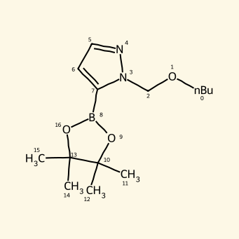 CCCCOCn1nccc1B1OC(C)(C)C(C)(C)O1